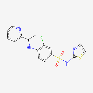 CC(Nc1ccc(S(=O)(=O)Nc2nccs2)cc1Cl)c1ccccn1